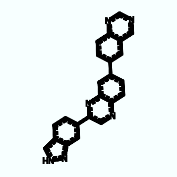 c1ncc2cc(-c3ccc4ncc(-c5ccc6c[nH]nc6c5)nc4c3)ccc2n1